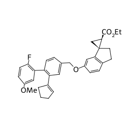 CCOC(=O)[C@@H]1C[C@]12CCc1ccc(OCc3ccc(-c4cc(OC)ccc4F)c(C4=CCCC4)c3)cc12